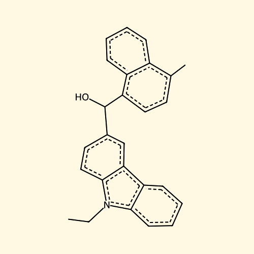 CCn1c2ccccc2c2cc(C(O)c3ccc(C)c4ccccc34)ccc21